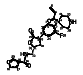 C=CC(=O)[N+]1(c2ccc(N3C[C@H](CNC(=O)c4ccoc4)OC3=O)cc2F)CCNCC1